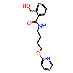 O=C(NCCCCOc1ccccn1)c1ccccc1CO